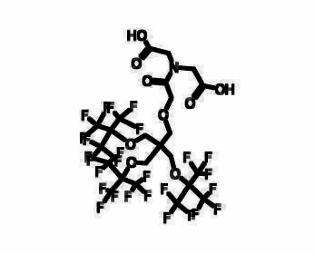 O=C(O)CN(CC(=O)O)C(=O)COCC(COC(C(F)(F)F)(C(F)(F)F)C(F)(F)F)(COC(C(F)(F)F)(C(F)(F)F)C(F)(F)F)COC(C(F)(F)F)(C(F)(F)F)C(F)(F)F